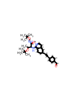 CC(OC(C)(C)C)C(Nc1nccc2cc(C#Cc3ccc(C=O)cc3)ccc12)C(=O)NOC(C)(C)C